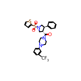 O=C([C@@H]1CN(S(=O)(=O)c2cccs2)C[C@H]1c1ccccc1)N1CCN(c2cccc(C(F)(F)F)c2)CC1